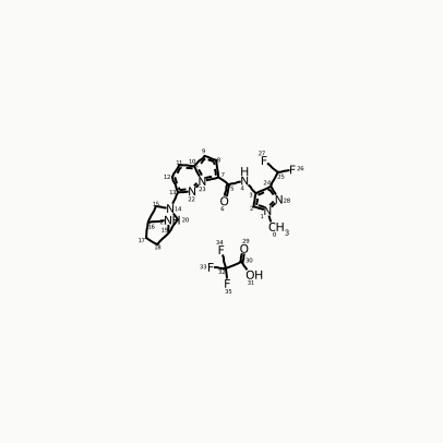 Cn1cc(NC(=O)c2ccc3ccc(N4CC5CCC(C4)N5)nn23)c(C(F)F)n1.O=C(O)C(F)(F)F